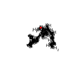 COc1ccc(C2=CN(C(=O)c3cc(OC)c(OC)cc3N)[C@H](C3OCCN3C(=O)OCCSSC[C@H](NC(=O)[C@H](CC(=O)O)NC(=O)[C@H](CC(=O)O)NC(=O)[C@H](CCCNC(=N)N)NC(=O)[C@H](CC(=O)O)NC(=O)CC[C@H](NC(=O)c3ccc(NCc4cnc5nc(N)[nH]c(=O)c5n4)cc3)C(=O)O)C(=O)O)C2)cc1